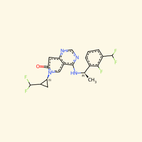 C[C@@H](Nc1ncnc2cc(=O)n([C@H]3CC3C(F)F)cc12)c1cccc(C(F)F)c1F